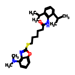 CC(C)c1cccc(C(C)C)c1NC(=O)CCCCCSc1nc2c(N(C)C)cccc2o1